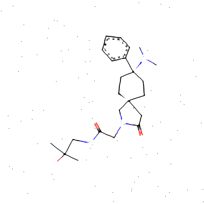 CN(C)[C@]1(c2ccccc2)CC[C@@]2(CC1)CC(=O)N(CC(=O)NCC(C)(C)O)C2